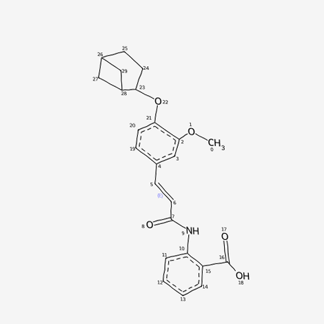 COc1cc(/C=C/C(=O)Nc2ccccc2C(=O)O)ccc1OC1CCC2CC1C2